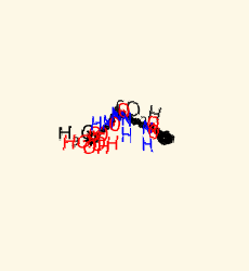 C[C@H]1O[C@H](OCCNC(=O)CN(CC(=O)O)CC(=O)NCCCCCNC(=O)OCc2ccccc2)[C@H](O)[C@@H](O)[C@H]1O